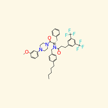 CCCCCc1ccc(CN(C(=O)CCc2cc(C(F)(F)F)cc(C(F)(F)F)c2)[C@@H](Cc2ccccc2)C(=O)N2CCN(c3cccc(OC)c3)CC2)cc1